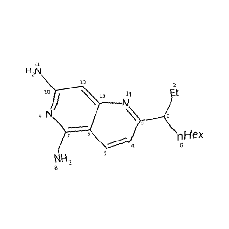 CCCCCCC(CC)c1ccc2c(N)nc(N)cc2n1